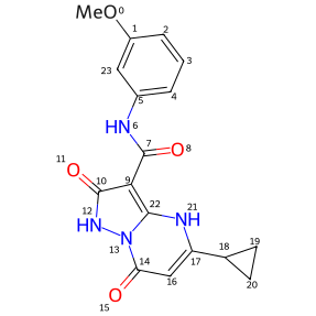 COc1cccc(NC(=O)c2c(=O)[nH]n3c(=O)cc(C4CC4)[nH]c23)c1